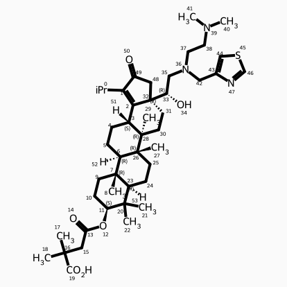 CC(C)C1=C2[C@H]3CC[C@@H]4[C@@]5(C)CC[C@H](OC(=O)CC(C)(C)C(=O)O)C(C)(C)[C@@H]5CC[C@@]4(C)[C@]3(C)CC[C@@]2([C@@H](O)CN(CCN(C)C)Cc2cscn2)CC1=O